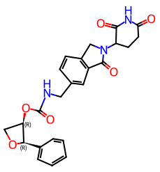 O=C1CCC(N2Cc3ccc(CNC(=O)O[C@@H]4CO[C@@H]4c4ccccc4)cc3C2=O)C(=O)N1